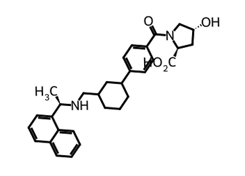 C[C@@H](NCC1CCCC(c2ccc(C(=O)N3C[C@H](O)C[C@H]3C(=O)O)cc2)C1)c1cccc2ccccc12